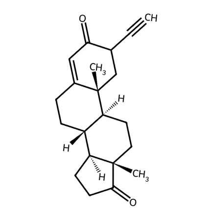 C#CC1C[C@@]2(C)C(=CC1=O)CC[C@@H]1[C@@H]2CC[C@]2(C)C(=O)CC[C@@H]12